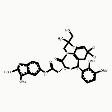 COc1cccc([C@H]2O[C@H](CC(=O)Nc3ccc4oc(C(=O)O)c(OC)c4c3)C(=O)N(CC(C)(C)CO)C3=C2CC(Cl)(Cl)C=C3)c1OC